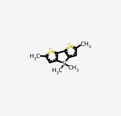 Cc1cc2c(s1)-c1sc(C)cc1[Si]2(C)C